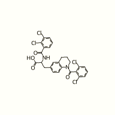 O=C(NC(Cc1ccc2c(c1)CCCN2C(=O)c1c(Cl)cccc1Cl)C(=O)O)c1cccc(Cl)c1Cl